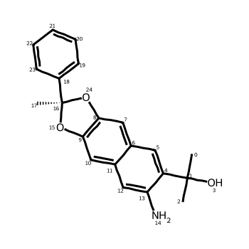 CC(C)(O)c1cc2cc3c(cc2cc1N)O[C@@](C)(c1ccccc1)O3